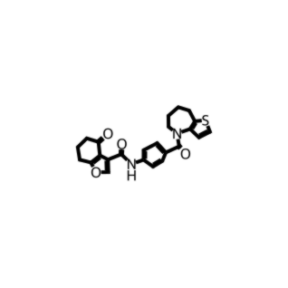 O=C(Nc1ccc(C(=O)N2CCCCc3sccc32)cc1)c1coc2c1C(=O)CCC2